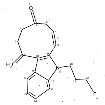 C=C1CCC(=O)C/C=C\c2c1c1ccccc1n2CCCF